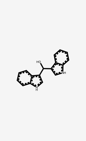 OC(c1c[nH]c2ccccc12)c1c[nH]c2ccccc12